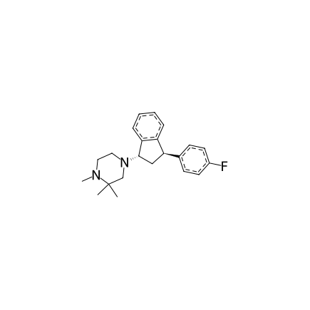 CN1CCN([C@H]2C[C@H](c3ccc(F)cc3)c3ccccc32)CC1(C)C